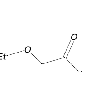 [CH2]C(=O)COCC